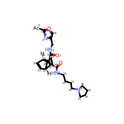 CC(=O)c1nc(CNC(=O)[C@H]2[C@H](C(=O)NCCCCN3CCCC3)[C@H]3C=C[C@@H]2C32CC2)co1